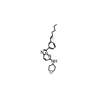 CCCC/C=C/c1cccc(-c2cnc3ccc(NC4CCOCC4)nn23)c1